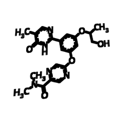 Cc1cnc(-c2cc(Oc3cnc(C(=O)N(C)C)cn3)cc(OC(C)CO)c2)[nH]c1=O